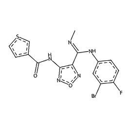 C/N=C(\Nc1ccc(F)c(Br)c1)c1nonc1NC(=O)c1ccsc1